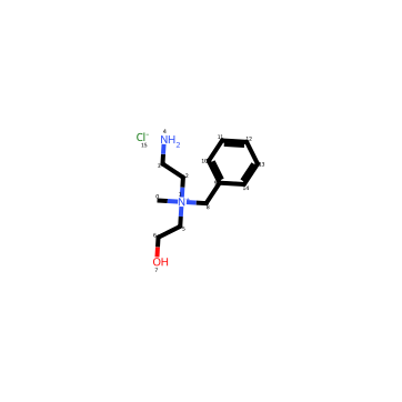 C[N+](CCN)(CCO)Cc1ccccc1.[Cl-]